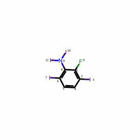 Fc1c(I)ccc(I)c1N(I)I